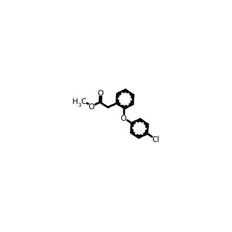 COC(=O)Cc1ccccc1Oc1ccc(Cl)cc1